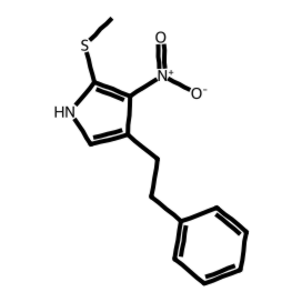 CSc1[nH]cc(CCc2ccccc2)c1[N+](=O)[O-]